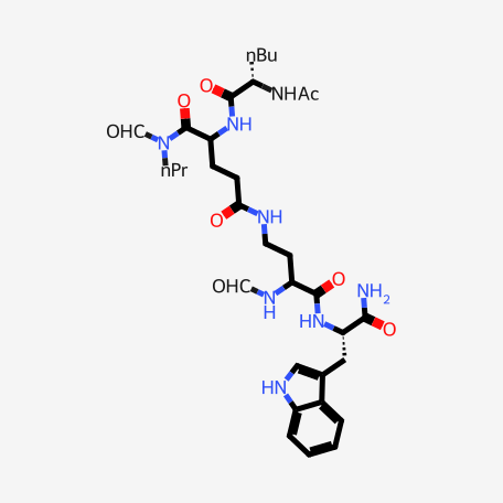 CCCC[C@H](NC(C)=O)C(=O)NC(CCC(=O)NCCC(NC=O)C(=O)N[C@@H](Cc1c[nH]c2ccccc12)C(N)=O)C(=O)N(C=O)CCC